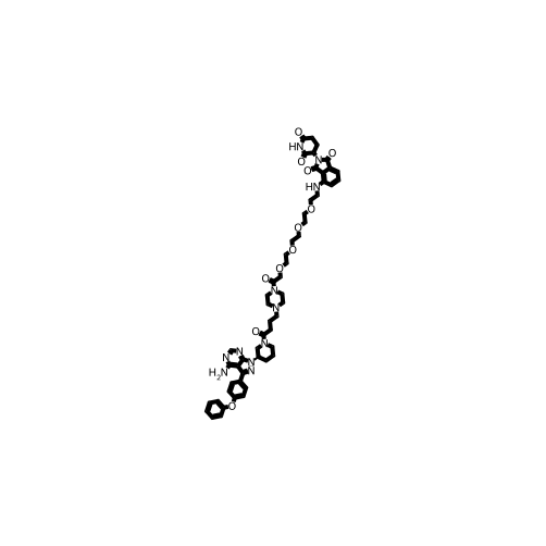 Nc1ncnc2c1c(-c1ccc(Oc3ccccc3)cc1)nn2[C@@H]1CCCN(C(=O)CCCN2CCN(C(=O)COCCOCCOCCOCCNc3cccc4c3C(=O)N(C3CCC(=O)NC3=O)C4=O)CC2)C1